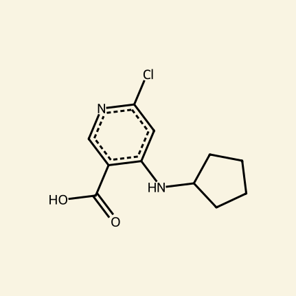 O=C(O)c1cnc(Cl)cc1NC1CCCC1